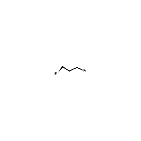 [CH2][C@H](C)CCCC(C)C